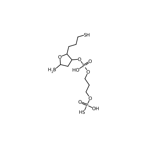 BC1CC(OP(=O)(O)OCCCOP(=O)(O)S)C(CCCS)O1